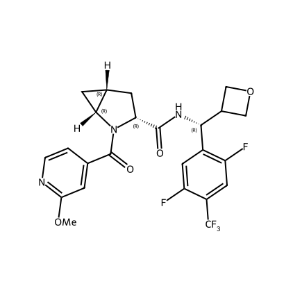 COc1cc(C(=O)N2[C@@H](C(=O)N[C@@H](c3cc(F)c(C(F)(F)F)cc3F)C3COC3)C[C@H]3C[C@H]32)ccn1